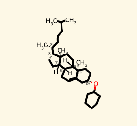 CC(C)CCC[C@@H](C)[C@H]1CC[C@H]2[C@@H]3CC=C4C[C@@H](OC5CCCCC5)CC[C@]4(C)[C@H]3CC[C@]12C